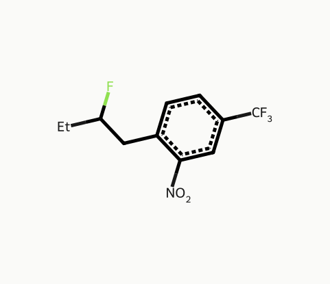 CCC(F)Cc1ccc(C(F)(F)F)cc1[N+](=O)[O-]